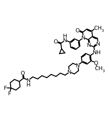 COc1cc(N2CCN(CCCCCCCCNC(=O)C3CCC(F)(F)CC3)CC2)ccc1Nc1ncc2c(C)cc(=O)n(-c3cccc(NC(=O)C4CC4)c3)c2n1